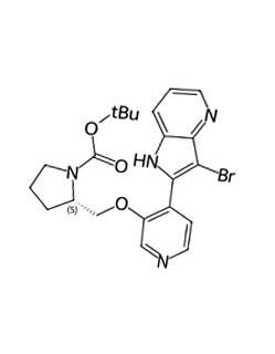 CC(C)(C)OC(=O)N1CCC[C@H]1COc1cnccc1-c1[nH]c2cccnc2c1Br